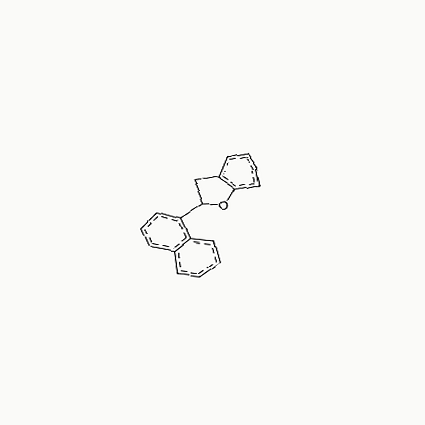 c1ccc2c(c1)CC(c1cccc3ccccc13)O2